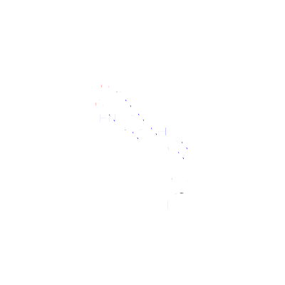 CO[C@H](C)C1C(=O)Nc2c(C)nc(NCc3cnn(Cc4ccc(F)cc4)c3)nc2N1C